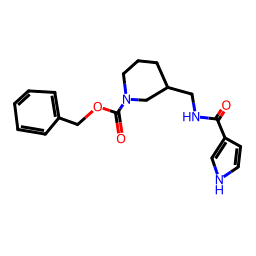 O=C(NCC1CCCN(C(=O)OCc2ccccc2)C1)c1cc[nH]c1